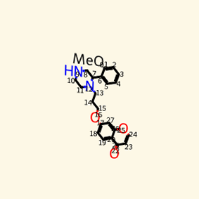 COc1ccccc1C1CNCCN1CCCOc1ccc2c(=O)ccoc2c1